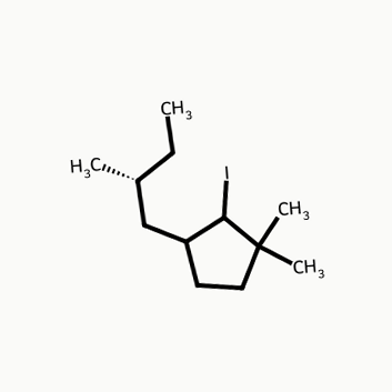 CC[C@@H](C)CC1CCC(C)(C)C1I